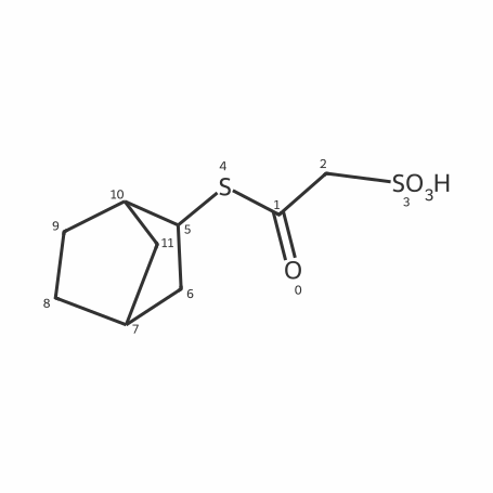 O=C(CS(=O)(=O)O)SC1CC2CCC1C2